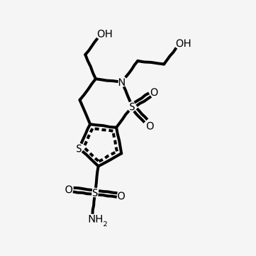 NS(=O)(=O)c1cc2c(s1)CC(CO)N(CCO)S2(=O)=O